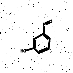 O=Pc1cccc(O)c1